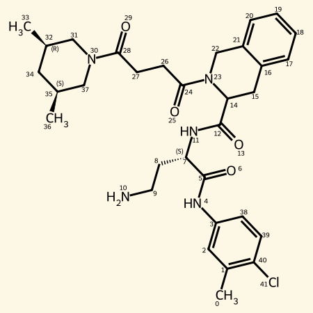 Cc1cc(NC(=O)[C@H](CCN)NC(=O)C2Cc3ccccc3CN2C(=O)CCC(=O)N2C[C@H](C)C[C@H](C)C2)ccc1Cl